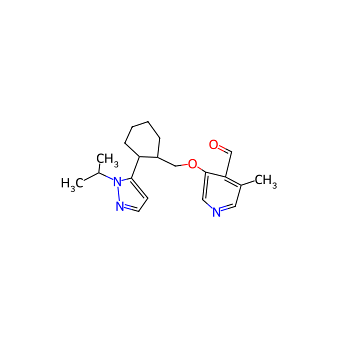 Cc1cncc(OCC2CCCCC2c2ccnn2C(C)C)c1C=O